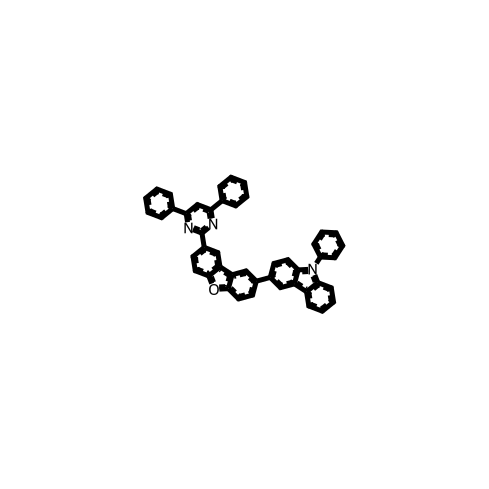 c1ccc(-c2cc(-c3ccccc3)nc(-c3ccc4oc5ccc(-c6ccc7c(c6)c6ccccc6n7-c6ccccc6)cc5c4c3)n2)cc1